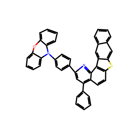 c1ccc(-c2cc(-c3ccc(N4c5ccccc5Oc5ccccc54)cc3)nc3c2ccc2sc4cc5ccccc5cc4c23)cc1